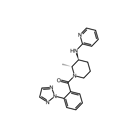 C[C@@H]1[C@@H](Nc2ccccn2)CCCN1C(=O)c1ccccc1-n1nccn1